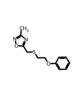 Cc1noc(CSCCOc2ccccc2)n1